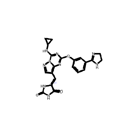 O=C1NC(=O)/C(=C/c2cnn3c(NC4CC4)nc(Oc4cccc(C5=NCCN5)c4)nc23)N1